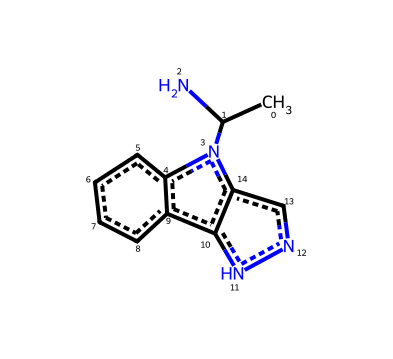 CC(N)n1c2ccccc2c2[nH]ncc21